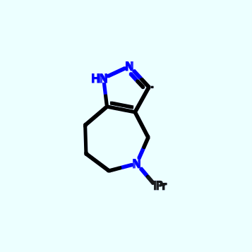 CC(C)N1CCCc2[nH]n[c]c2C1